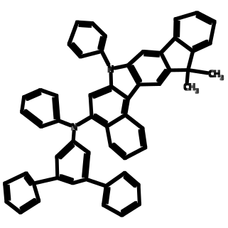 CC1(C)c2ccccc2-c2cc3c(cc21)c1c2ccccc2c(N(c2ccccc2)c2cc(-c4ccccc4)cc(-c4ccccc4)c2)cc1n3-c1ccccc1